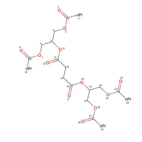 CCCC(=O)OCC(COC(=O)CCC)OC(=O)CCC(=O)OC(COC(=O)CCC)COC(=O)CCC